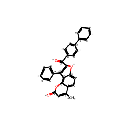 Cc1cc(=O)oc2c1ccc1oc(C(=O)c3ccc(-c4ccccc4)cc3)c(-c3ccccc3)c12